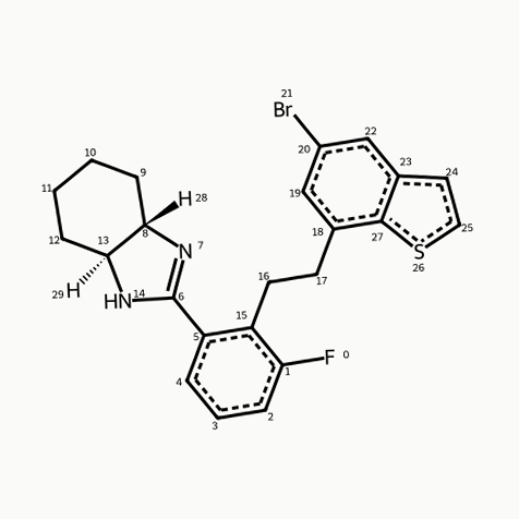 Fc1cccc(C2=N[C@H]3CCCC[C@@H]3N2)c1CCc1cc(Br)cc2ccsc12